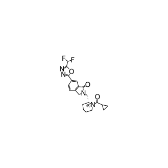 O=C1c2cc(-c3nnc(C(F)F)o3)ccc2CN1C[C@H]1CCCCN1C(=O)C1CC1